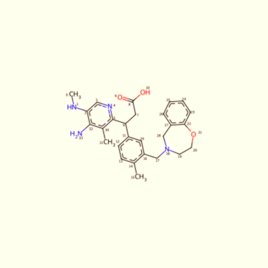 CNc1cnc(C(CC(=O)O)c2ccc(C)c(CN3CCOc4ccccc4C3)c2)c(C)c1N